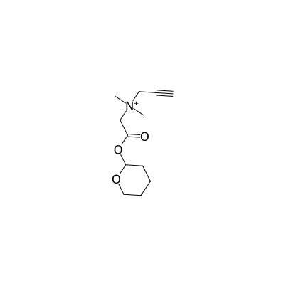 C#CC[N+](C)(C)CC(=O)OC1CCCCO1